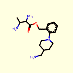 CC(N)C(N)C(=O)OCc1ccccc1N1CCC(CN)CC1